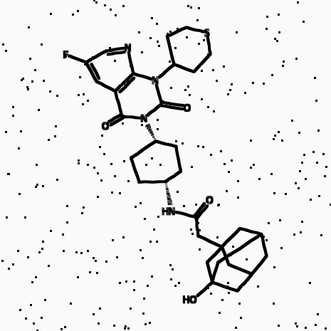 O=C(CC12CC3CC(CC(O)(C3)C1)C2)N[C@H]1CC[C@@H](n2c(=O)c3cc(F)cnc3n(C3CCSCC3)c2=O)CC1